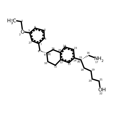 CCOc1cccc(C[C@H]2CCc3cc([C@H](CN)CCCCO)ccc3C2)c1